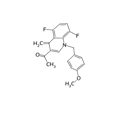 C=C1C(C(C)=O)=CN(Cc2ccc(OC)cc2)c2c(F)ccc(F)c21